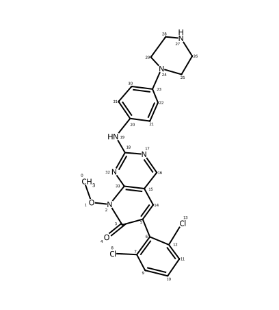 COn1c(=O)c(-c2c(Cl)cccc2Cl)cc2cnc(Nc3ccc(N4CCNCC4)cc3)nc21